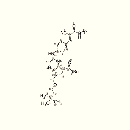 CCNC(=O)/C(C#N)=C/c1ccc(Nc2cnc3c(n2)c(C(=O)C(C)(C)C)cn3COCC[Si](C)(C)C)cc1